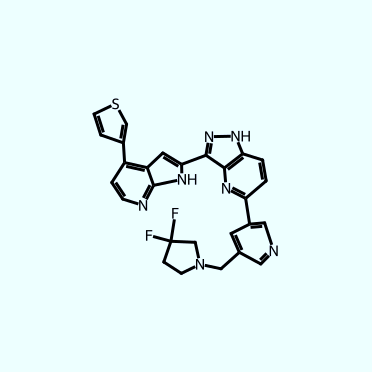 FC1(F)CCN(Cc2cncc(-c3ccc4[nH]nc(-c5cc6c(-c7ccsc7)ccnc6[nH]5)c4n3)c2)C1